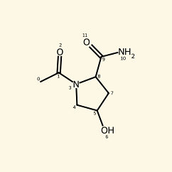 CC(=O)N1CC(O)CC1C(N)=O